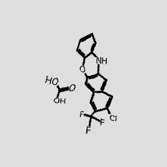 FC(F)(F)c1cc2cc3c(cc2cc1Cl)Nc1ccccc1O3.O=C(O)O